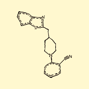 N#Cc1ccccc1N1CCC(Cc2nc3ccccc3s2)CC1